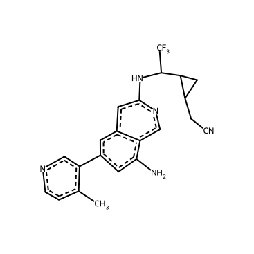 Cc1ccncc1-c1cc(N)c2cnc(NC(C3CC3CC#N)C(F)(F)F)cc2c1